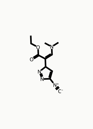 [C-]#[N+]C1=CC(C(=CN(C)C)C(=O)OCC)N=N1